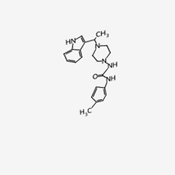 Cc1ccc(NC(=O)NN2CCN(C(C)c3c[nH]c4ccccc34)CC2)cc1